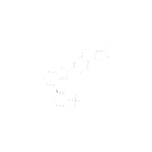 CC=C(/C=C\C(=C(/C)OC)n1cnc(C)c1)c1nc2n(n1)CCC[C@@H]2c1cccc(C(C)(C)OC)c1